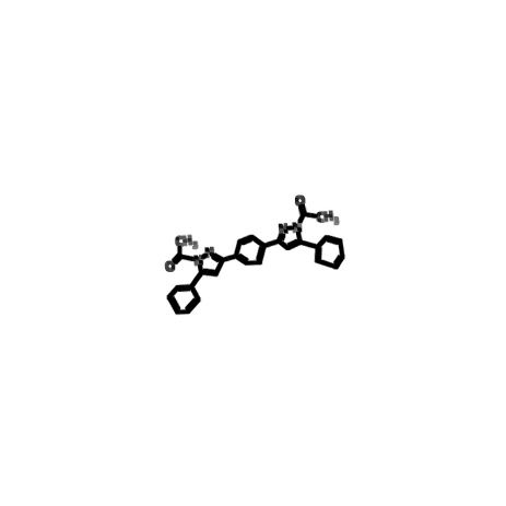 CC(=O)n1nc(-c2ccc(-c3cc(-c4ccccc4)n(C(C)=O)n3)cc2)cc1-c1ccccc1